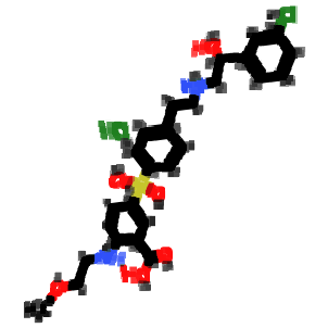 COCCNc1ccc(S(=O)(=O)c2ccc(CCNC[C@@H](O)c3cccc(Cl)c3)cc2)cc1C(=O)O.Cl